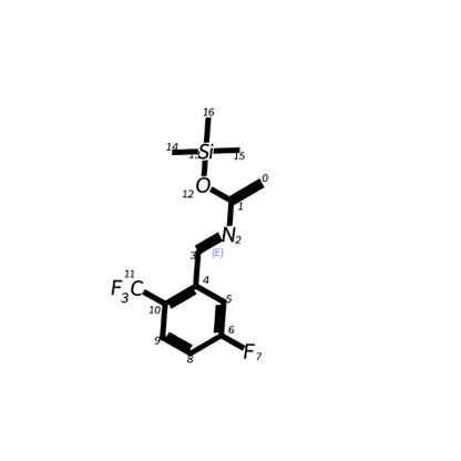 C=C(/N=C/c1cc(F)ccc1C(F)(F)F)O[Si](C)(C)C